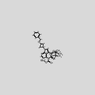 CC(C)(C)OC(=O)N(C(=O)OC(C)(C)C)c1ncnc2c1c(B1OC(C)(C)C(C)(C)O1)cn2C1CC(OCc2ccccc2)C1